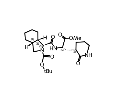 COC(=O)[C@H](C[C@@H]1CCCNC1=O)NC(=O)[C@@H]1[C@H]2CCCC[C@H]2CN1C(=O)OC(C)(C)C